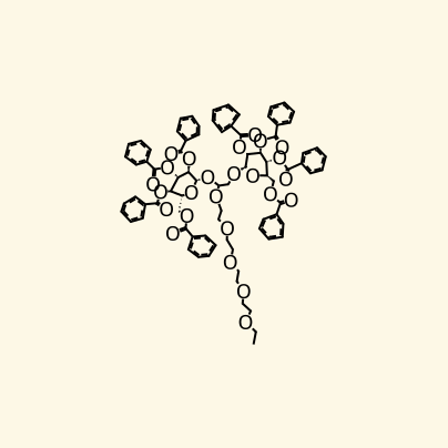 CCOCCOCCOCCOCCOC(CO[C@@H]1O[C@H](COC(=O)c2ccccc2)[C@@H](OC(=O)c2ccccc2)[C@H](OC(=O)c2ccccc2)[C@H]1OC(=O)c1ccccc1)O[C@@H]1O[C@H](COC(=O)c2ccccc2)[C@@H](OC(=O)c2ccccc2)[C@H](OC(=O)c2ccccc2)[C@H]1OC(=O)c1ccccc1